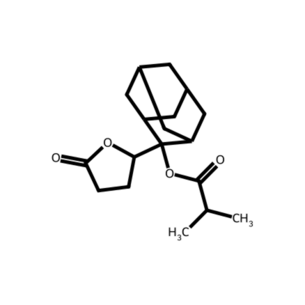 CC(C)C(=O)OC1(C2CCC(=O)O2)C2CC3CC(C2)CC1C3